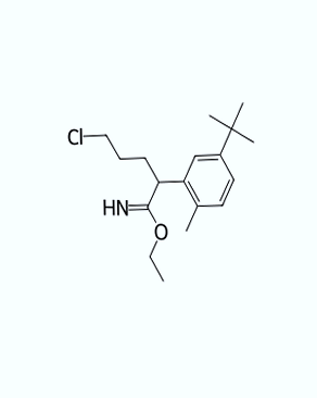 CCOC(=N)C(CCCCl)c1cc(C(C)(C)C)ccc1C